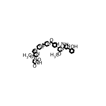 COc1c(N2CCC(=O)NC2=O)cnc2c1ccn2C1CCN(CC2(F)CCN(C(=O)c3ccc([C@H]4C[C@@H](OC)CN(c5cc(-c6ccccc6O)nnc5N)C4)cc3)CC2)CC1